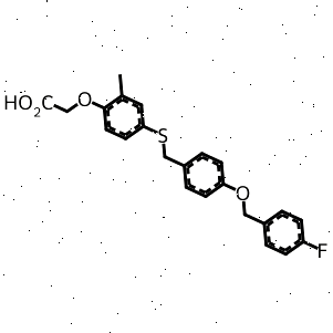 Cc1cc(SCc2ccc(OCc3ccc(F)cc3)cc2)ccc1OCC(=O)O